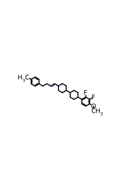 COc1ccc(C2CCC(C3CCC(/C=C/CCc4ccc(C)cc4)CC3)CC2)c(F)c1F